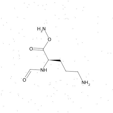 NCCC[C@@H](NC=O)C(=O)ON